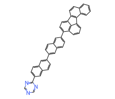 c1ccc2c3c(ccc2c1)-c1ccc(-c2ccc4cc(-c5ccc6cc(-c7ncncn7)ccc6c5)ccc4c2)c2cccc-3c12